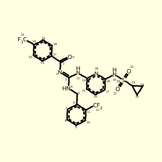 O=C(/N=C(/NCc1ccccc1C(F)(F)F)Nc1cccc(NS(=O)(=O)C2CC2)n1)c1ccc(C(F)(F)F)cc1